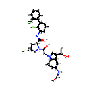 CC(O)c1cn(CC(=O)N2C[C@H](F)C[C@H]2C(=O)Nc2cccc(-c3ccccc3Cl)c2F)c2ccc(N=C=O)cc12